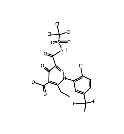 CCc1c(C(=O)O)c(=O)c(C(=O)NS(=O)(=O)C(Cl)(Cl)Cl)nn1-c1cc(C(F)(F)F)ccc1Cl